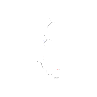 C=CC(CC/C=C(/C)COC/C=C(\C)CCC=C(C)C)OC